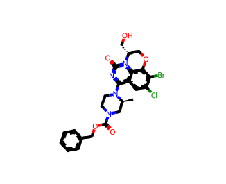 C[C@H]1CN(C(=O)OCc2ccccc2)CCN1c1nc(=O)n2c3c(c(Br)c(Cl)cc13)OC[C@H]2CO